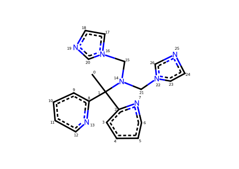 CC(c1ccccn1)(c1ccccn1)N(Cn1ccnc1)Cn1ccnc1